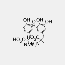 CC(N)(Cc1ccc(O)c(O)c1)C(=O)O.CNC(Cc1ccc(O)c(O)c1)C(=O)O